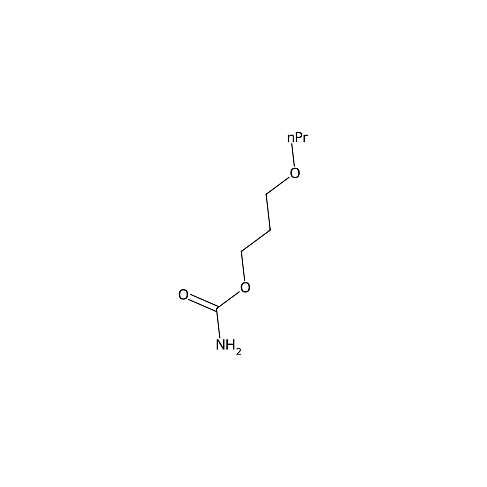 CCCOCCCOC(N)=O